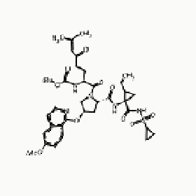 C=CC1C[C@]1(NC(=O)[C@@H]1C[C@@H](Oc2nccc3cc(OC)ccc23)CN1C(=O)[C@H](CCC(=O)C=C(C)C)NC(=O)OC(C)(C)C)C(=O)NS(=O)(=O)C1CC1